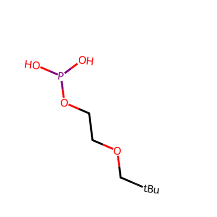 CC(C)(C)COCCOP(O)O